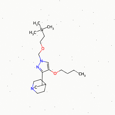 CCCCOc1cn(COCC[Si](C)(C)C)nc1C1CN2CCC1CC2